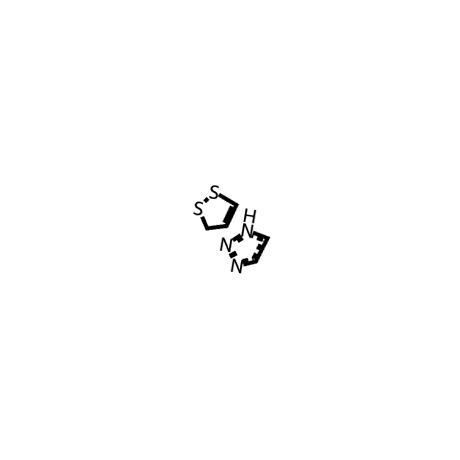 C1=CSSC1.c1c[nH]nn1